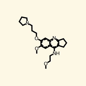 COCCNc1c2c(nc3cc(OCCCN4CCCC4)c(OC)cc13)CCC2